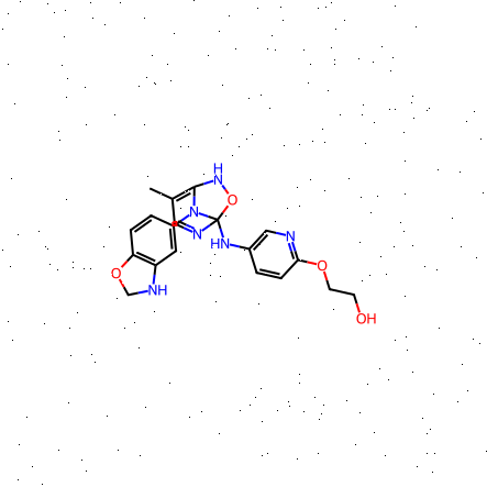 CC1=C2NOC(Nc3ccc(OCCO)nc3)(N=C1)N2c1ccc2c(c1)NCO2